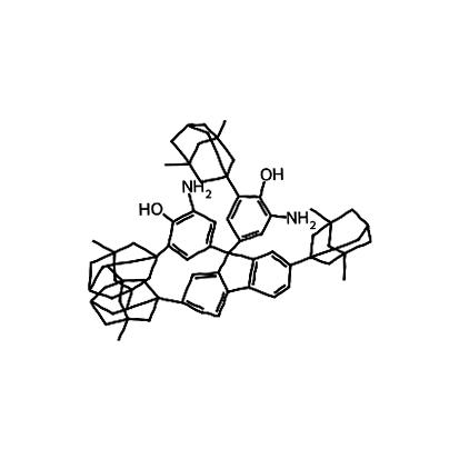 CC12CC3CC(C)(C1)CC(c1ccc4c(c1)C(c1cc(N)c(O)c(C56CC7CC(C)(CC(C)(C7)C5)C6)c1)(c1cc(N)c(O)c(C56CC7CC(C)(CC(C)(C7)C5)C6)c1)c1cc(C56CC7CC(C)(CC(C)(C7)C5)C6)ccc1-4)(C3)C2